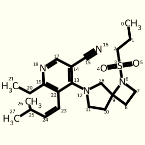 CCCS(=O)(=O)N1CCC12CCN(c1c(C#N)cnc(CC)c1/C=C\C(C)C)C2